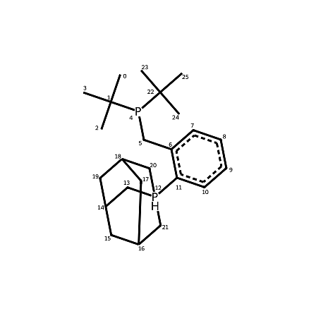 CC(C)(C)P(Cc1ccccc1[PH]12CC3CC(CC(C3)C1)C2)C(C)(C)C